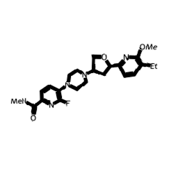 CCc1ccc(C2CC(N3CCN(c4ccc(C(=O)NC)nc4F)CC3)CO2)nc1OC